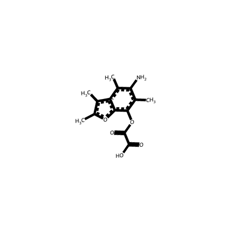 Cc1oc2c(OC(=O)C(=O)O)c(C)c(N)c(C)c2c1C